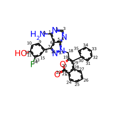 Nc1ncnc2c1c(-c1ccc(O)c(F)c1)nn2Cc1oc(=O)c2ccccc2c1-c1ccccc1